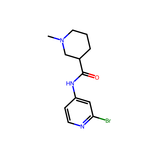 CN1CCCC(C(=O)Nc2ccnc(Br)c2)C1